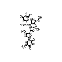 CCCCCN[C@@H]1[C@H](OP(=O)(O)OC[C@H]2O[C@@H](n3cc(C)c(=O)[nH]c3=O)C[C@@H]2O)[C@@H](CO)O[C@H]1n1ccc(=O)[nH]c1=O